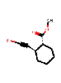 COC(=O)[C@@H]1CCCC[C@H]1C#CBr